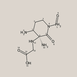 NC1CCN([PH2]=O)C(=O)[C@@]1(N)NCC(=O)O